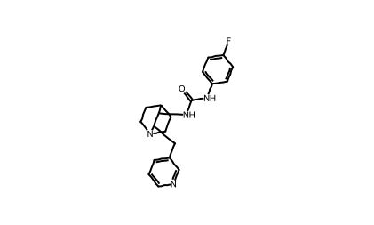 O=C(Nc1ccc(F)cc1)NC1C2CCN(CC2)C1Cc1cccnc1